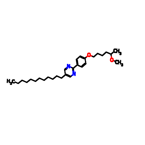 CCCCCCCCCCCCc1cnc(-c2ccc(OCCCCC(C)OC)cc2)nc1